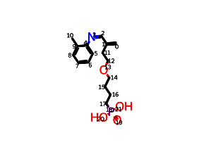 C=C(/C=N\c1ccccc1C)CCOCCCCP(=O)(O)O